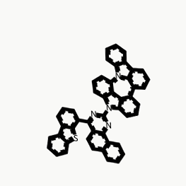 c1ccc2c(c1)ccc1c(-c3cccc4c3sc3ccccc34)nc(-n3c4cccc5c6cccc7c8ccccc8n(c8cccc3c8c54)c67)nc12